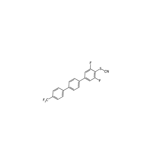 N#CSc1c(F)cc(-c2ccc(-c3ccc(C(F)(F)F)cc3)cc2)cc1F